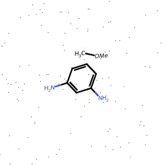 COC.Nc1cccc(N)c1